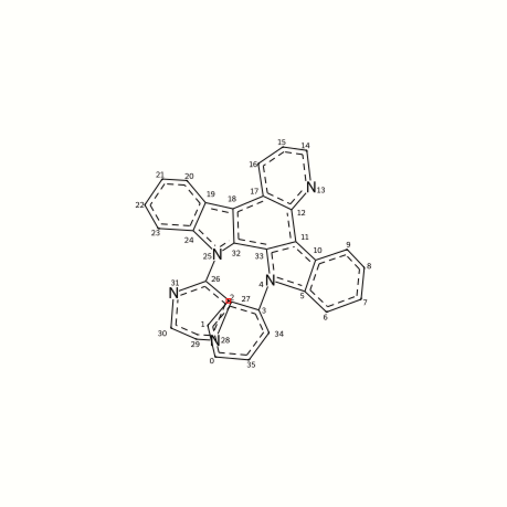 c1ccc(-n2c3ccccc3c3c4ncccc4c4c5ccccc5n(-c5cnccn5)c4c32)cc1